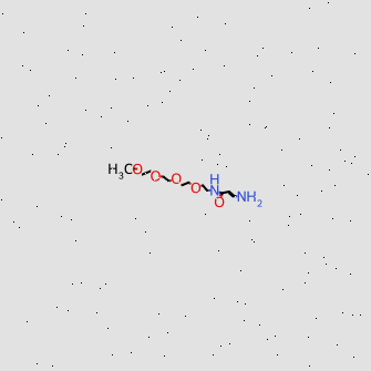 COCCOCCOCCOCCNC(=O)C=CN